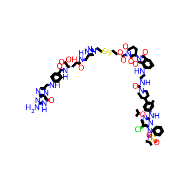 Cc1cc(Nc2ncc(Cl)c(Nc3ccccc3S(=O)(=O)C(C)C)n2)c(OC(C)C)cc1C1CCN(C(=O)NCCNc2cccc3c2C(=O)N(C2CCC(=O)N(C(=O)OCCSSCCn4cc(CNC(=O)CC[C@H](NC(=O)c5ccc(NCc6cnc7nc(N)[nH]c(=O)c7n6)cc5)C(=O)O)nn4)C2=O)C3=O)CC1